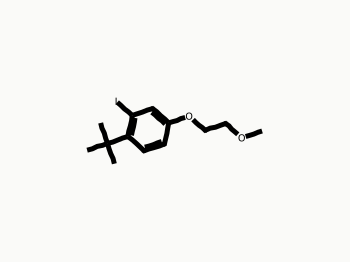 COCCOc1ccc(C(C)(C)C)c(I)c1